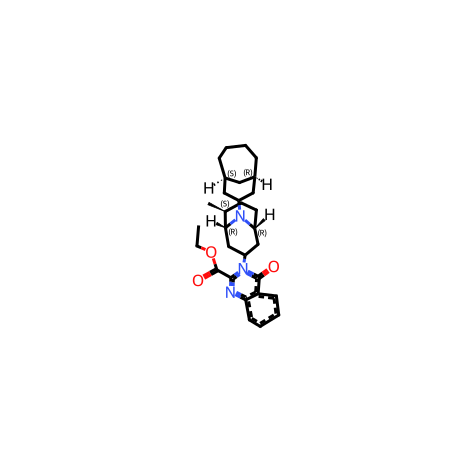 CCOC(=O)c1nc2ccccc2c(=O)n1C1C[C@H]2CC[C@H](C)[C@@H](C1)N2C1C[C@H]2CCCC[C@@H](C1)C2